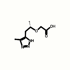 Cc1nn[nH]c1C[C@H](C)OCC(=O)O